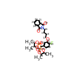 C[C@@H]1OP(=O)(C(c2ccc(F)c(OCCCCN3C(=O)c4ccccc4C3=O)c2)P2(=O)O[C@@H](C)[C@@H](C)O2)O[C@@H]1C